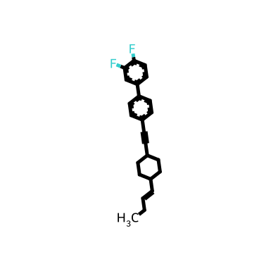 CCC=CC1CCC(C#Cc2ccc(-c3ccc(F)c(F)c3)cc2)CC1